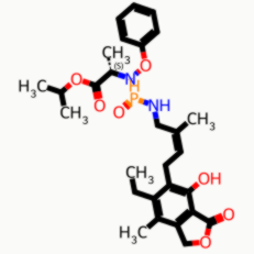 CCc1c(C)c2c(c(O)c1CC=C(C)CN[PH](=O)N(Oc1ccccc1)[C@@H](C)C(=O)OC(C)C)C(=O)OC2